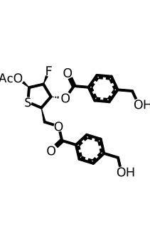 CC(=O)O[C@@H]1S[C@H](COC(=O)c2ccc(CO)cc2)[C@@H](OC(=O)c2ccc(CO)cc2)[C@@H]1F